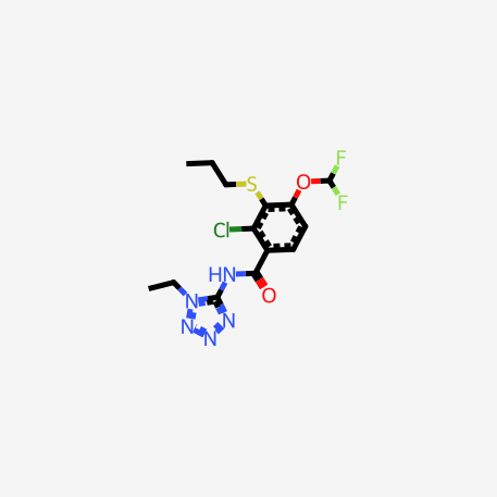 CCCSc1c(OC(F)F)ccc(C(=O)Nc2nnnn2CC)c1Cl